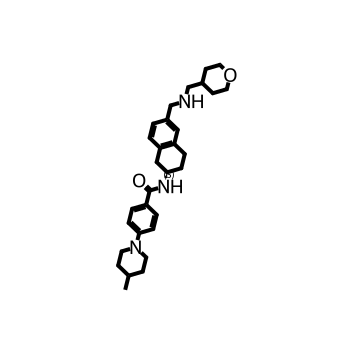 CC1CCN(c2ccc(C(=O)N[C@H]3CCc4cc(CNCC5CCOCC5)ccc4C3)cc2)CC1